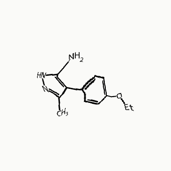 CCOc1ccc(-c2c(C)n[nH]c2N)cc1